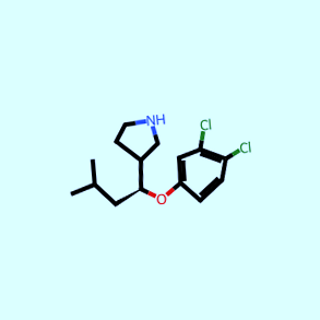 CC(C)C[C@H](Oc1ccc(Cl)c(Cl)c1)C1CCNC1